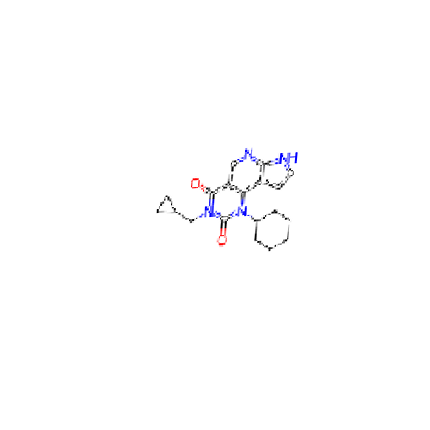 O=c1c2cnc3[nH]ccc3c2n(C2CCCCC2)c(=O)n1CC1CC1